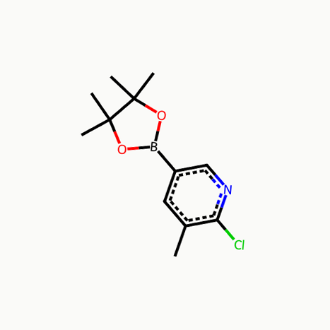 Cc1cc(B2OC(C)(C)C(C)(C)O2)cnc1Cl